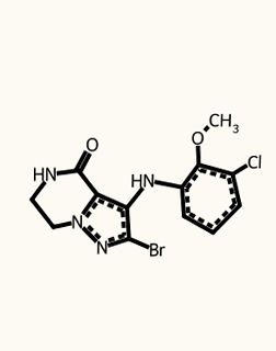 COc1c(Cl)cccc1Nc1c(Br)nn2c1C(=O)NCC2